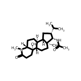 CC(=O)N[C@H]1[C@@H](C(C)C)C[C@H]2[C@@H]3CC[C@H]4N(C)C(=O)CC[C@]4(C)[C@H]3CC[C@@]21C